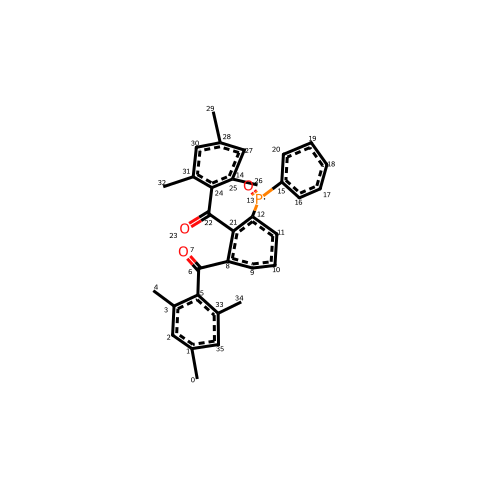 Cc1cc(C)c(C(=O)c2cccc([P](=O)c3ccccc3)c2C(=O)c2c(C)cc(C)cc2C)c(C)c1